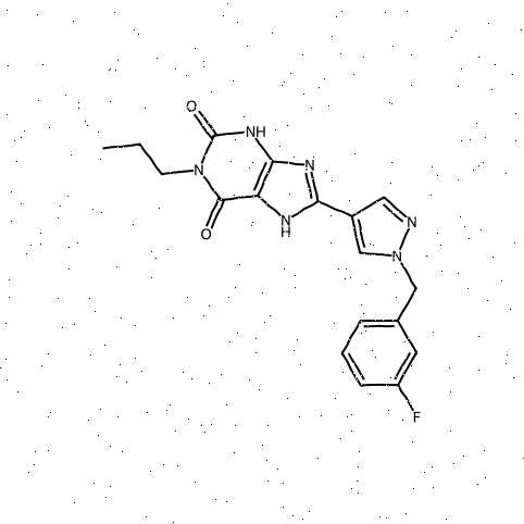 CCCn1c(=O)[nH]c2nc(-c3cnn(Cc4cccc(F)c4)c3)[nH]c2c1=O